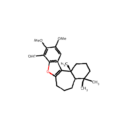 COc1cc2c3c(oc2c(C=O)c1OC)CCCC1C(C)(C)CCC[C@@]31C